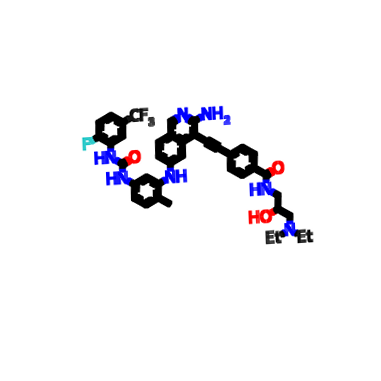 CCN(CC)CC(O)CNC(=O)c1ccc(C#Cc2c(N)ncc3ccc(Nc4cc(NC(=O)Nc5cc(C(F)(F)F)ccc5F)ccc4C)cc23)cc1